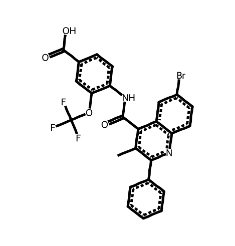 Cc1c(-c2ccccc2)nc2ccc(Br)cc2c1C(=O)Nc1ccc(C(=O)O)cc1OC(F)(F)F